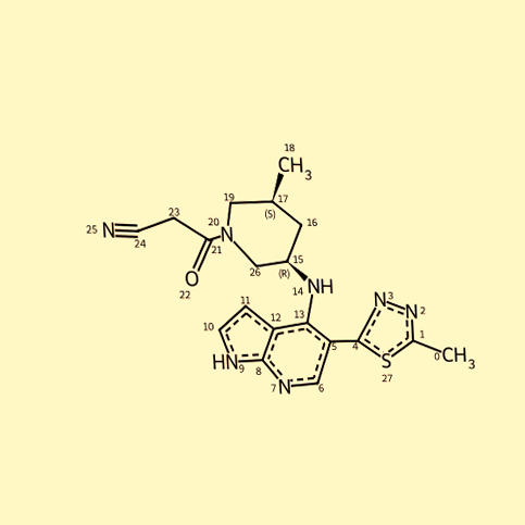 Cc1nnc(-c2cnc3[nH]ccc3c2N[C@@H]2C[C@H](C)CN(C(=O)CC#N)C2)s1